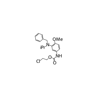 COc1ccc(NC(=O)OCCCl)cc1N(Cc1ccccc1)C(C)C